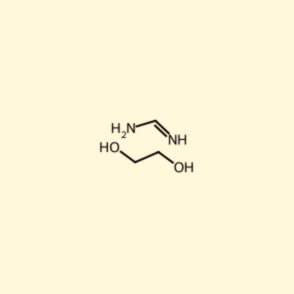 N=CN.OCCO